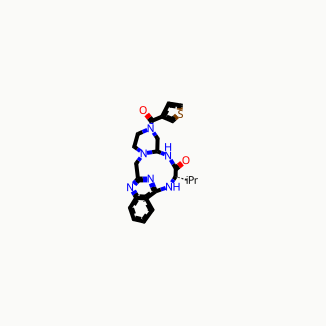 CC(C)[C@@H]1Nc2nc(nc3ccccc23)CN2CCN(C(=O)c3ccsc3)CC2NC1=O